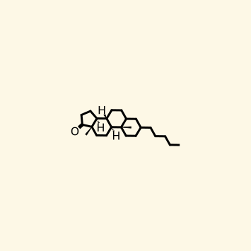 CCCCCC1CC[C@@]2(C)C(CC[C@@H]3[C@@H]2CC[C@]2(C)C(=O)CC[C@@H]32)C1